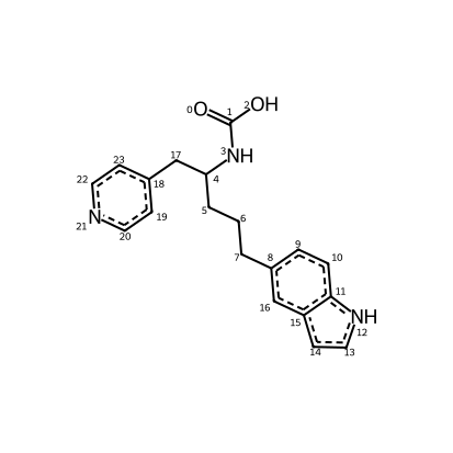 O=C(O)NC(CCCc1ccc2[nH]ccc2c1)Cc1ccncc1